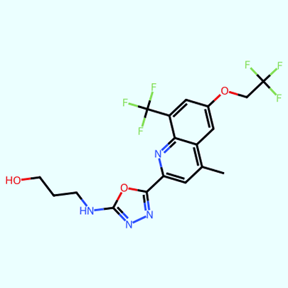 Cc1cc(-c2nnc(NCCCO)o2)nc2c(C(F)(F)F)cc(OCC(F)(F)F)cc12